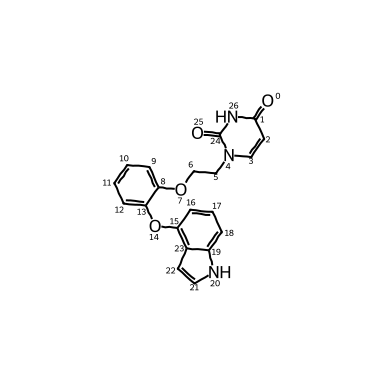 O=c1ccn(CCOc2ccccc2Oc2cccc3[nH]ccc23)c(=O)[nH]1